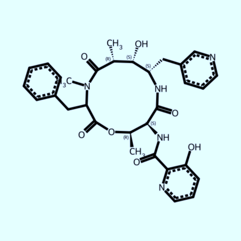 C[C@H]1OC(=O)C(Cc2ccccc2)N(C)C(=O)[C@H](C)[C@H](O)[C@H](Cc2cccnc2)NC(=O)[C@H]1NC(=O)c1ncccc1O